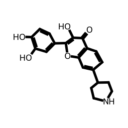 O=c1c(O)c(-c2ccc(O)c(O)c2)oc2cc(C3CCNCC3)ccc12